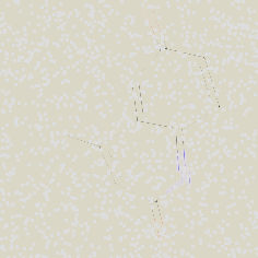 CC1=CC(=O)N=C2C=CC(=O)C=C12